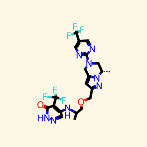 CC(COCc1cc2n(n1)[C@@H](C)CN(c1ncc(C(F)(F)F)cn1)C2)Nc1cn[nH]c(=O)c1C(F)(F)F